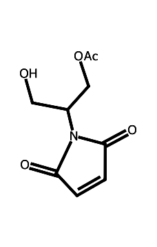 CC(=O)OCC(CO)N1C(=O)C=CC1=O